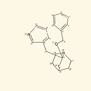 c1ccc(COC2(Cc3cccnc3)CC3CCN2CC3)cc1